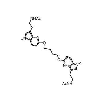 CC(=O)NCCc1cn(C)c2ccc(OCCCCOc3ccc4c(n3)c(CCNC(C)=O)cn4C)nc12